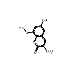 CCCCOc1cc(O)cc2cc(C(=O)O)c(=O)oc12